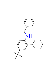 CC(C)(C)c1ccc(NCc2ccccc2)c(C2CCCCC2)c1